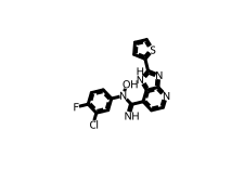 N=C(c1ccnc2nc(-c3cccs3)[nH]c12)N(O)c1ccc(F)c(Cl)c1